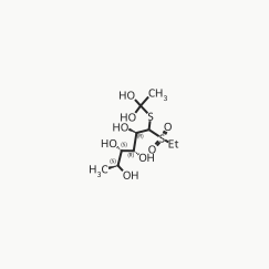 CCS(=O)(=O)C(SC(C)(O)O)[C@H](O)[C@H](O)[C@@H](O)[C@H](C)O